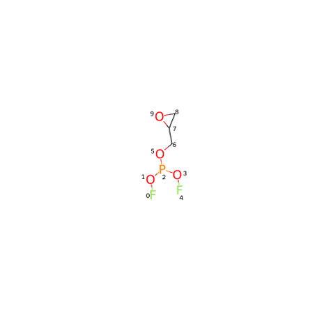 FOP(OF)OCC1CO1